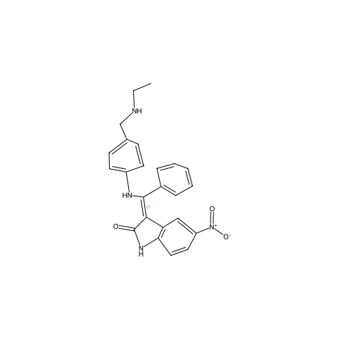 CCNCc1ccc(N/C(=C2\C(=O)Nc3ccc([N+](=O)[O-])cc32)c2ccccc2)cc1